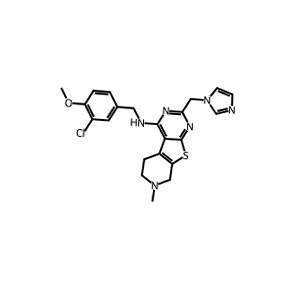 COc1ccc(CNc2nc(Cn3ccnc3)nc3sc4c(c23)CCN(C)C4)cc1Cl